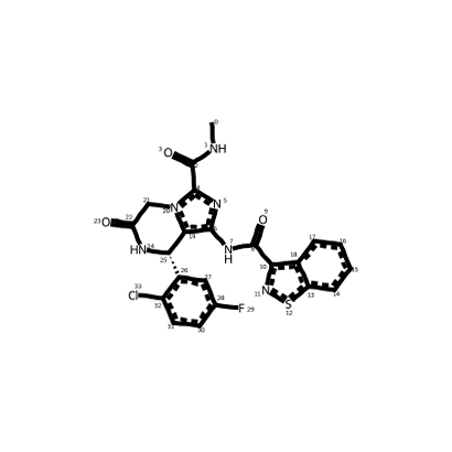 CNC(=O)c1nc(NC(=O)c2nsc3ccccc23)c2n1CC(=O)N[C@H]2c1cc(F)ccc1Cl